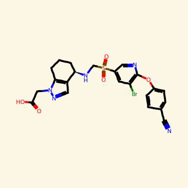 N#Cc1ccc(Oc2ncc(S(=O)(=O)CN[C@@H]3CCCc4c3cnn4CC(=O)O)cc2Br)cc1